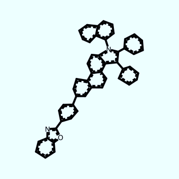 c1ccc(-c2c(-c3ccccc3)n(-c3cccc4ccccc34)c3ccc4c5ccc(-c6ccc(-c7nc8ccccc8o7)cc6)cc5ccc4c23)cc1